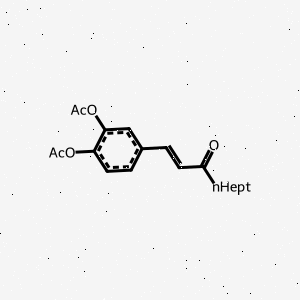 CCCCCCCC(=O)C=Cc1ccc(OC(C)=O)c(OC(C)=O)c1